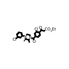 CCOC(=O)CC(=O)c1ccc(C(=O)N2CCN(c3cccc(Cl)c3)[C@H](C)C2C)cc1Cl